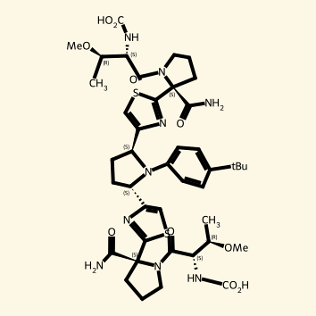 CO[C@H](C)[C@H](NC(=O)O)C(=O)N1CCC[C@]1(C(N)=O)c1nc([C@@H]2CC[C@@H](c3csc([C@@]4(C(N)=O)CCCN4C(=O)[C@@H](NC(=O)O)[C@@H](C)OC)n3)N2c2ccc(C(C)(C)C)cc2)cs1